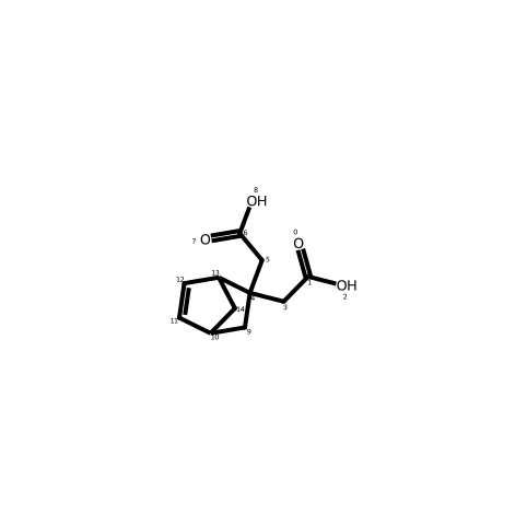 O=C(O)CC1(CC(=O)O)CC2C=CC1C2